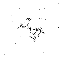 CC(=O)OC(C1CC1)[C@@H]1C[C@@H](OC(C)=O)C(OC(C)=O)O1